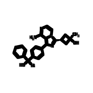 CCC(O)(c1ccccc1)c1ccc(-c2nc([C@H]3C[C@@](C)(O)C3)n3ccnc(N)c23)cc1